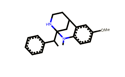 COc1ccc2c(c1)C1CCNC(C(C)c3ccccc3)(C1)N2C